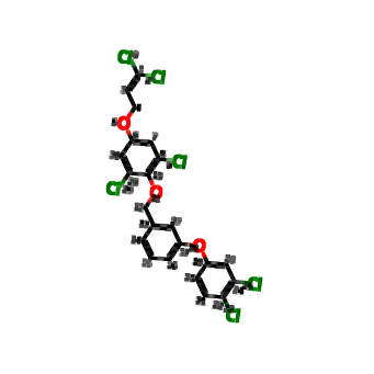 ClC(Cl)=CCOc1cc(Cl)c(OCc2cccc(Oc3ccc(Cl)c(Cl)c3)c2)c(Cl)c1